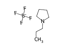 CCCN1CCCC1.F[B-](F)(F)F